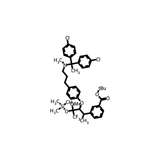 COC(O[Si](C)(C)C)(C(Oc1ccc(CCCN(C)C(C)(c2ccc(Cl)cc2)c2ccc(Cl)cc2)cc1)C(C)c1cccc(C(=O)OC(C)(C)C)c1)C(F)(F)F